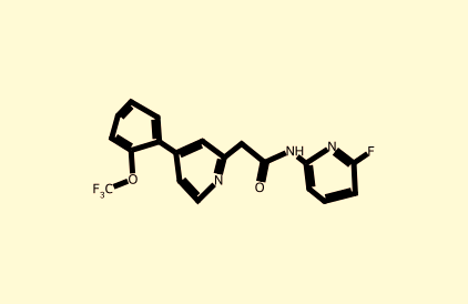 O=C(Cc1cc(-c2ccccc2OC(F)(F)F)ccn1)Nc1cccc(F)n1